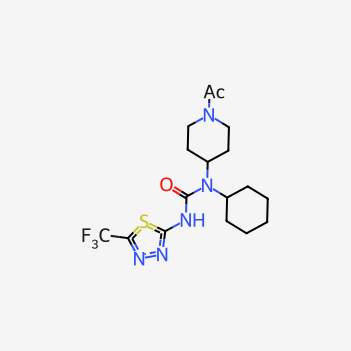 CC(=O)N1CCC(N(C(=O)Nc2nnc(C(F)(F)F)s2)C2CCCCC2)CC1